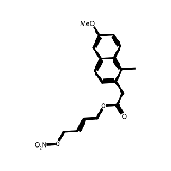 COc1ccc2c(C)c(CC(=O)OCC=CCO[N+](=O)[O-])ccc2c1